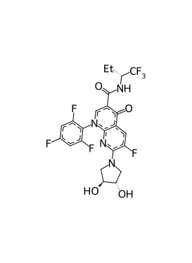 CC[C@@H](NC(=O)c1cn(-c2c(F)cc(F)cc2F)c2nc(N3C[C@H](O)[C@@H](O)C3)c(F)cc2c1=O)C(F)(F)F